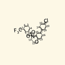 O=S(=O)(c1cccc(C(F)(F)F)c1)N1CCOc2ccc(-c3ccc(Cl)cc3)cc21